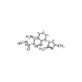 CCCNC(=O)c1nnc2c(-c3cc(C)nn3C)cccc2c1N